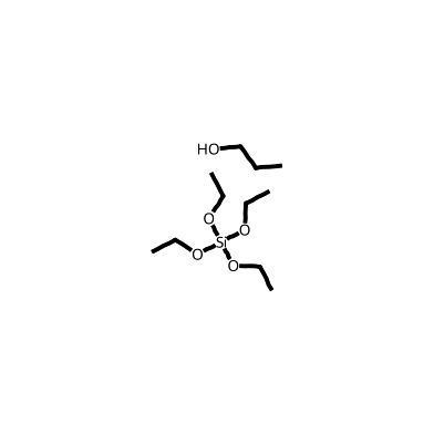 CCCO.CCO[Si](OCC)(OCC)OCC